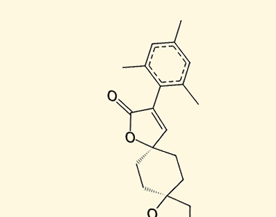 Cc1cc(C)c(C2=C[C@]3(CC[C@@]4(CCCO4)CC3)OC2=O)c(C)c1